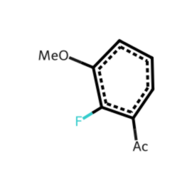 COc1cccc(C(C)=O)c1F